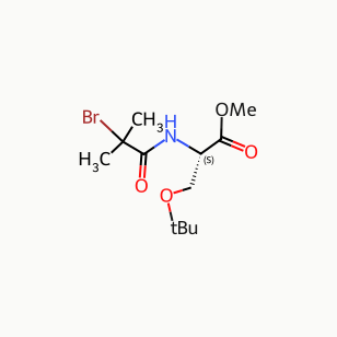 COC(=O)[C@H](COC(C)(C)C)NC(=O)C(C)(C)Br